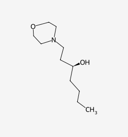 CCCC[C@H](O)CCN1CCOCC1